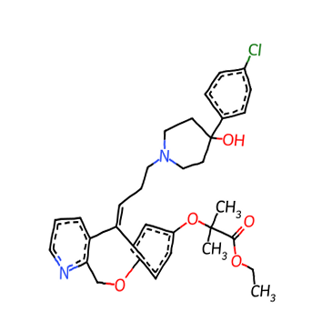 CCOC(=O)C(C)(C)Oc1ccc2c(c1)C(=CCCN1CCC(O)(c3ccc(Cl)cc3)CC1)c1cccnc1CO2